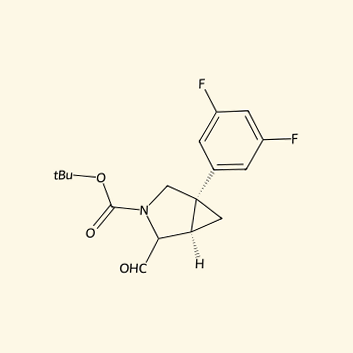 CC(C)(C)OC(=O)N1C[C@@]2(c3cc(F)cc(F)c3)C[C@H]2C1C=O